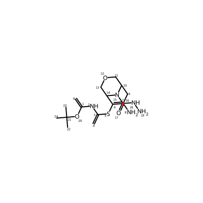 C=C(NC(=C)SC1=C(N)CC2COCC1N2C(=O)NN)OC(C)(C)C